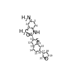 Cc1cc(N)ccc1NC(=O)c1cc2ccc(-c3ccoc3)cc2s1